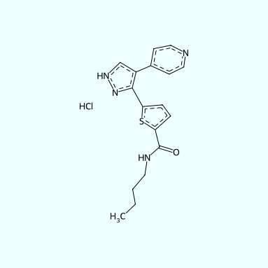 CCCCNC(=O)c1ccc(-c2n[nH]cc2-c2ccncc2)s1.Cl